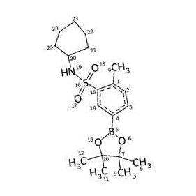 Cc1ccc(B2OC(C)(C)C(C)(C)O2)cc1S(=O)(=O)NC1CCCCC1